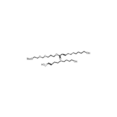 COCCOCOCCCOC(=O)C=CCCCCCCCO.O=C(O)C=CCCCCCCCO